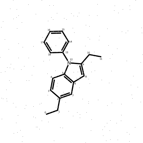 CCc1ccc2c(c1)cc(CC)n2-c1ccccc1